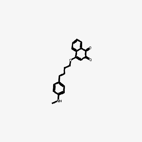 CNc1ccc(CCCCOC2=CC(=O)C(=O)c3ccccc32)cc1